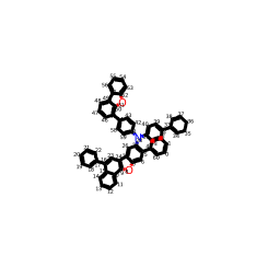 C1=CCCC(c2cc3oc4c5ccccc5c(-c5ccccc5)cc4c3cc2N(c2ccc(C3=CCCC=C3)cc2)c2ccc(-c3cccc4c3oc3ccccc34)cc2)=C1